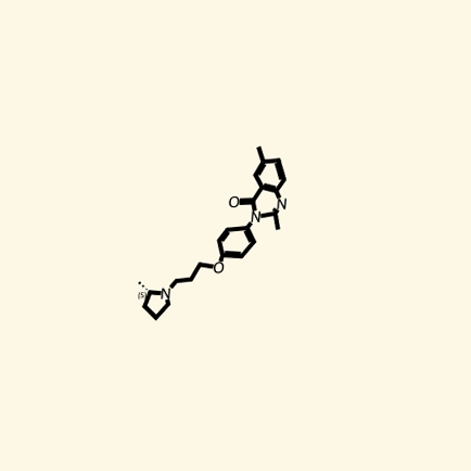 Cc1ccc2nc(C)n(-c3ccc(OCCCN4CCC[C@@H]4C)cc3)c(=O)c2c1